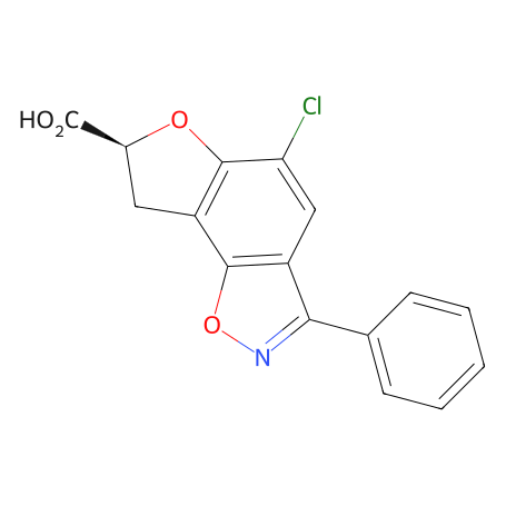 O=C(O)[C@@H]1Cc2c(c(Cl)cc3c(-c4ccccc4)noc23)O1